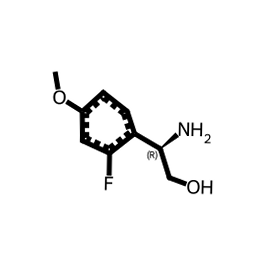 COc1ccc([C@@H](N)CO)c(F)c1